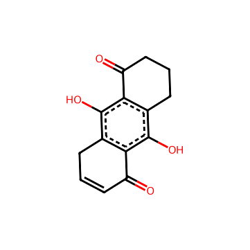 O=C1C=CCc2c(O)c3c(c(O)c21)CCCC3=O